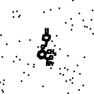 CCCC(=O)c1cccc(OCC2CCNCC2)c1C